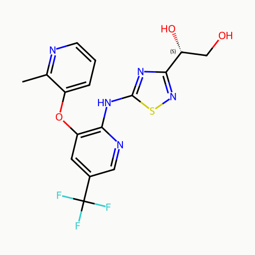 Cc1ncccc1Oc1cc(C(F)(F)F)cnc1Nc1nc([C@H](O)CO)ns1